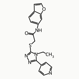 CCn1c(SCC(=O)Nc2ccc3ccoc3c2)nnc1-c1ccncc1